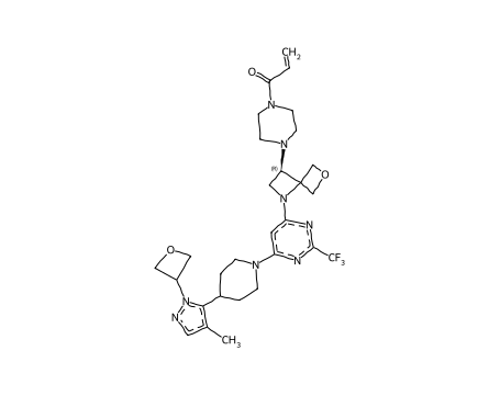 C=CC(=O)N1CCN([C@@H]2CN(c3cc(N4CCC(c5c(C)cnn5C5COC5)CC4)nc(C(F)(F)F)n3)C23COC3)CC1